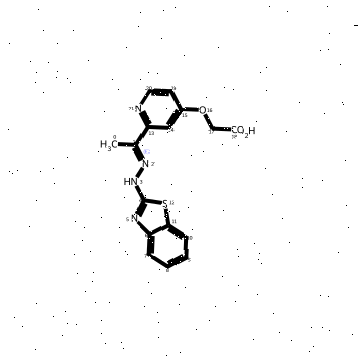 C/C(=N\Nc1nc2ccccc2s1)c1cc(OCC(=O)O)ccn1